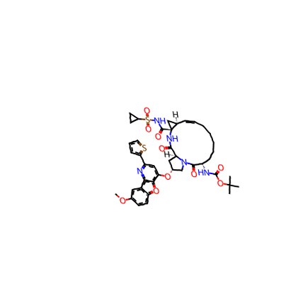 COc1ccc2oc3c(O[C@@H]4C[C@H]5C(=O)N[C@]6(C(=O)NS(=O)(=O)C7CC7)C[C@H]6/C=C\CCCCC[C@H](NC(=O)OC(C)(C)C)C(=O)N5C4)cc(-c4cccs4)nc3c2c1